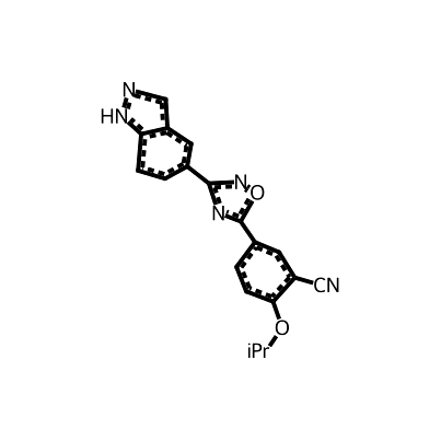 CC(C)Oc1ccc(-c2nc(-c3ccc4[nH]ncc4c3)no2)cc1C#N